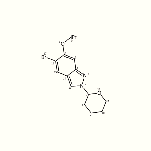 CC(C)Oc1cc2nn(C3CCCCO3)cc2cc1Br